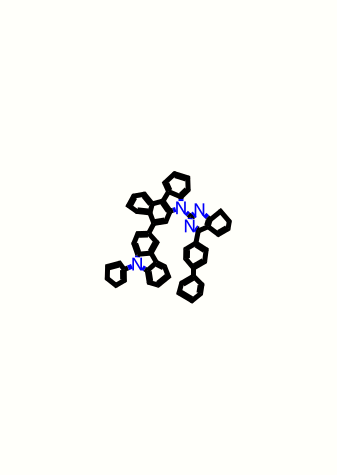 C1=CC(n2c3ccccc3c3cc(-c4cc5c(c6ccccc46)c4ccccc4n5-c4nc5c(c(-c6ccc(-c7ccccc7)cc6)n4)C=CCC5)ccc32)=CCC1